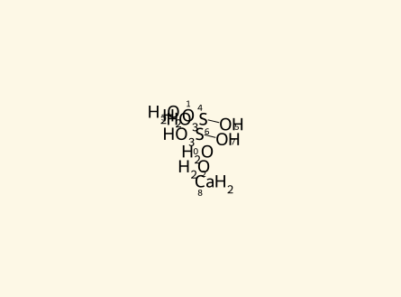 O.O.O.O.O=S(=O)(O)O.O=S(=O)(O)O.[CaH2]